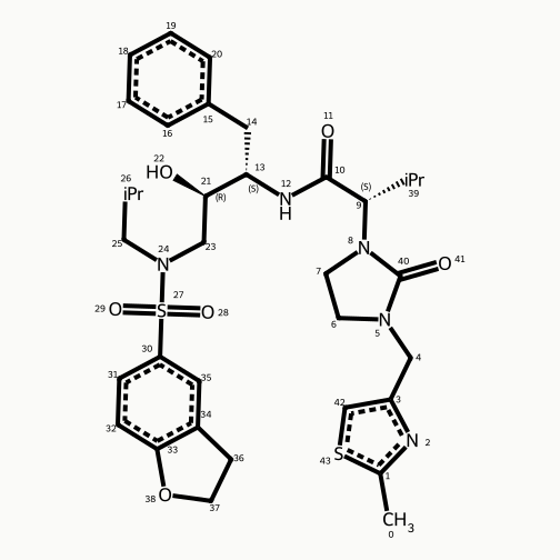 Cc1nc(CN2CCN([C@H](C(=O)N[C@@H](Cc3ccccc3)[C@H](O)CN(CC(C)C)S(=O)(=O)c3ccc4c(c3)CCO4)C(C)C)C2=O)cs1